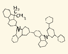 CC1(C)C2CCCCC2C2CCC(N3C4CCCCC4C4CC(C5CCC6C(C5)C5CCCCC5N6C5CC(C6CCCCC6)CC(C6CCCCC6)C5)CCC43)CC21